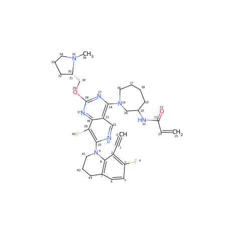 C#Cc1c(F)ccc2c1N(c1ncc3c(N4CCCCC(NC(=O)C=C)C4)nc(OC[C@@H]4CCCN4C)nc3c1F)CCC2